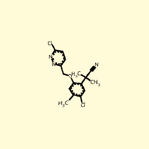 Cc1cc(OCc2ccc(Cl)nn2)c(C(C)(C)C#N)cc1Cl